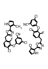 Cc1cc[nH]c1-c1nnc(Cc2ccc(Cl)c(Oc3cc(Cl)cc(C#N)c3)c2F)o1.N#Cc1cc(Cl)cc(Oc2c(Cl)ccc(Cc3nnc(-c4[nH]ccc4Cl)o3)c2F)c1